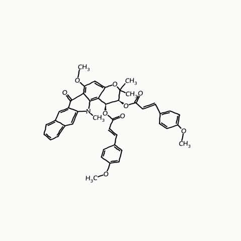 COc1ccc(C=CC(=O)O[C@H]2c3c(cc(OC)c4c(=O)c5cc6ccccc6cc5n(C)c34)OC(C)(C)[C@H]2OC(=O)C=Cc2ccc(OC)cc2)cc1